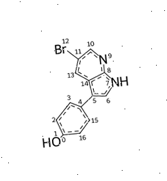 Oc1ccc(-c2c[nH]c3ncc(Br)cc23)cc1